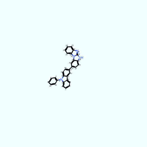 c1ccc(-n2c3ccccc3c3cc(-c4ccc5[nH]c6nc7ccccc7n6c5c4)ccc32)cc1